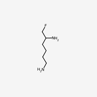 NCCCCC(N)CF